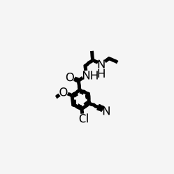 CCNC(C)CNC(=O)c1cc(C#N)c(Cl)cc1OC